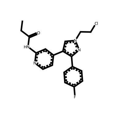 CCC(=O)Nc1cc(-c2cn(CCCl)nc2-c2ccc(F)cc2)ccn1